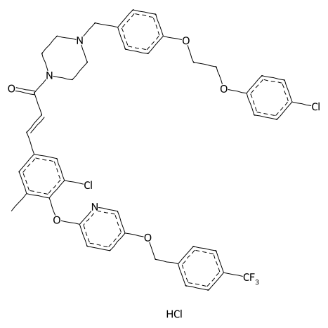 Cc1cc(/C=C/C(=O)N2CCN(Cc3ccc(OCCOc4ccc(Cl)cc4)cc3)CC2)cc(Cl)c1Oc1ccc(OCc2ccc(C(F)(F)F)cc2)cn1.Cl